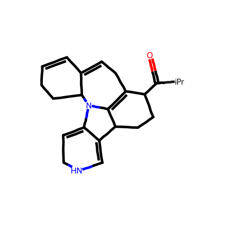 CC(C)C(=O)C1CCC2C3=CNCC=C3N3C2=C1CC=C1C=CCCC13